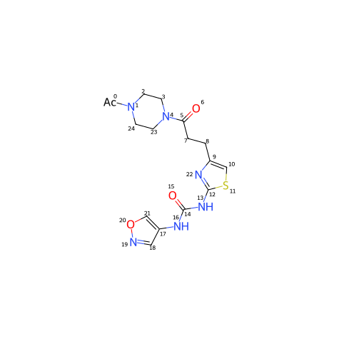 CC(=O)N1CCN(C(=O)CCc2csc(NC(=O)Nc3cnoc3)n2)CC1